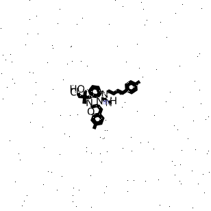 [H]/N=c1\n(CCC=Cc2ccc(C)cc2)c2ccccc2n1C(Cc1ccc(C)cc1)C(=O)N1CC(CO)(CCl)C1